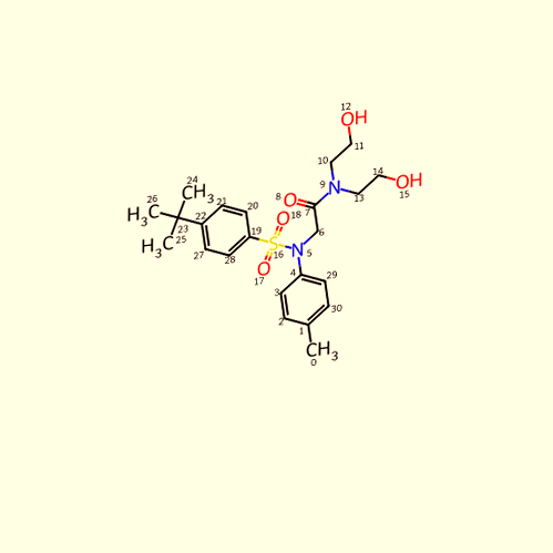 Cc1ccc(N(CC(=O)N(CCO)CCO)S(=O)(=O)c2ccc(C(C)(C)C)cc2)cc1